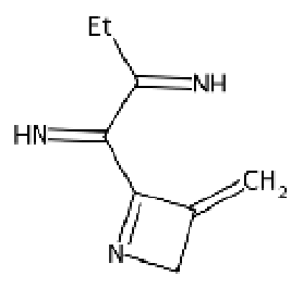 C=C1CN=C1C(=N)C(=N)CC